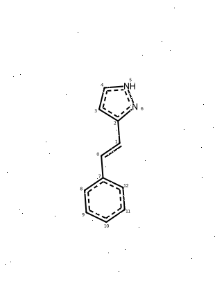 C(=Cc1cc[nH]n1)c1ccccc1